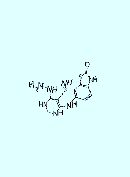 N=CC1=C(Nc2ccc3[nH]c(=O)sc3c2)NCNC1NN